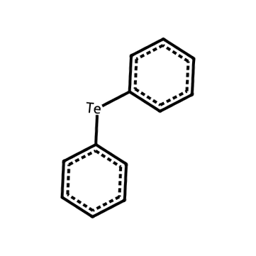 c1ccc([Te]c2ccccc2)cc1